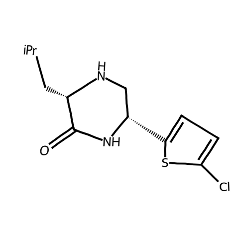 CC(C)C[C@@H]1NC[C@H](c2ccc(Cl)s2)NC1=O